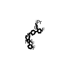 CC(C)CCOc1cc(F)ccc1-c1ccc(Cn2ccc3nc(-c4cccc(F)c4F)nc-3c2)cc1